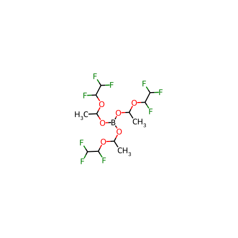 CC(OB(OC(C)OC(F)C(F)F)OC(C)OC(F)C(F)F)OC(F)C(F)F